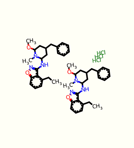 CCc1cccc2onc(NC3CC(Cc4ccccc4)CC(OC)N3C)c12.CCc1cccc2onc(NC3CC(Cc4ccccc4)CC(OC)N3C)c12.Cl.Cl.Cl